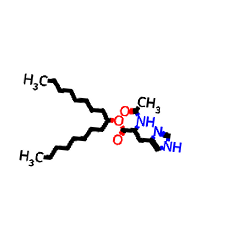 CCCCCCCCC(CCCCCCCC)OC(=O)C(Cc1c[nH]cn1)NC(C)=O